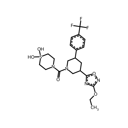 CCOc1noc(C2CC(c3ccc(C(F)(F)F)cc3)CN(C(=O)N3CCS(O)(O)CC3)C2)n1